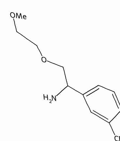 COCCOCC(N)c1cccc(C(F)(F)F)c1